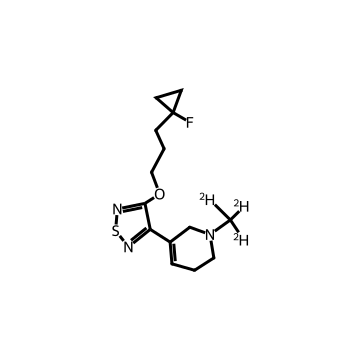 [2H]C([2H])([2H])N1CCC=C(c2nsnc2OCCCC2(F)CC2)C1